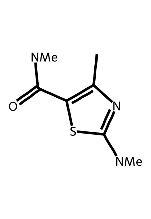 CNC(=O)c1sc(NC)nc1C